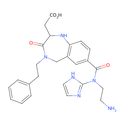 NCCN(C(=O)c1ccc2c(c1)CN(CCc1ccccc1)C(=O)C(CC(=O)O)N2)c1ncc[nH]1